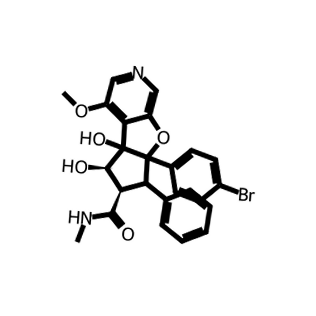 CNC(=O)[C@@H]1C(c2ccccc2)C2(c3ccc(Br)cc3)Oc3cncc(OC)c3C2(O)[C@@H]1O